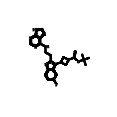 CC(C)(C)OC(=O)N1CC(n2c(CCNc3ncnc4[nH]cnc34)nc3ccc(F)cc32)C1